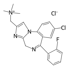 C[N+](C)(C)Cc1cn2c(n1)CN=C(c1ccccc1F)c1cc(Cl)ccc1-2.[Cl-]